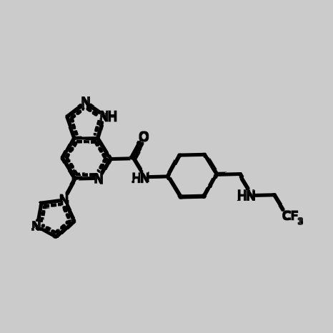 O=C(NC1CCC(CNCC(F)(F)F)CC1)c1nc(-n2ccnc2)cc2cn[nH]c12